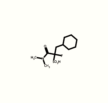 CN(C)C(=O)C(F)(CC1CCCCC1)S(=O)(=O)O